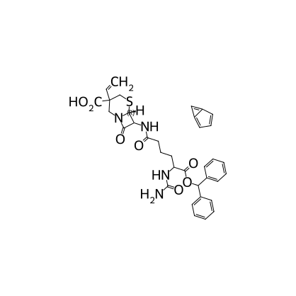 C=CC1(C(=O)O)CS[C@@H]2C(NC(=O)CCCC(NC(N)=O)C(=O)OC(c3ccccc3)c3ccccc3)C(=O)N2C1.c1cc2cc-2c1